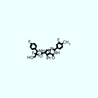 Cc1ccc(-c2nn3cc(C(=O)N[C@@H](c4ccc(F)cc4)C(F)(F)CO)c(C(C)C)c3c(=O)[nH]2)cc1F